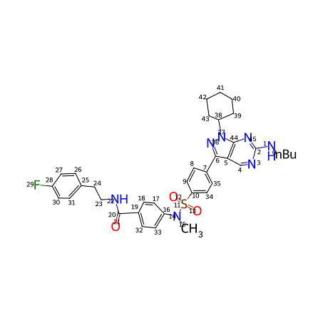 CCCCNc1ncc2c(-c3ccc(S(=O)(=O)N(C)c4ccc(C(=O)NCCc5ccc(F)cc5)cc4)cc3)nn(C3CCCCC3)c2n1